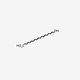 O=C(O)[CH]CCCCCCCCCCCCCCCC[CH]O